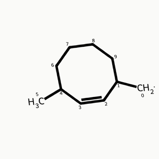 [CH2]C1C=CC(C)CCCC1